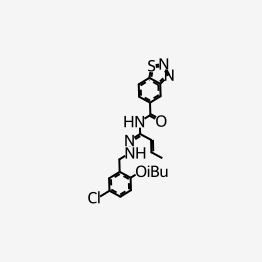 C/C=C/C(=N\NCc1cc(Cl)ccc1OCC(C)C)NC(=O)c1ccc2snnc2c1